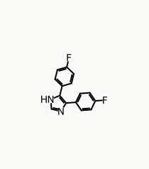 Fc1ccc(-c2nc[nH]c2-c2ccc(F)cc2)cc1